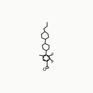 CCCC1CCC(C2CCC(c3c(C)cc(C4CO4)c(F)c3F)CC2)CC1